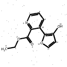 CCOC(=O)c1ncccc1-c1occc1O